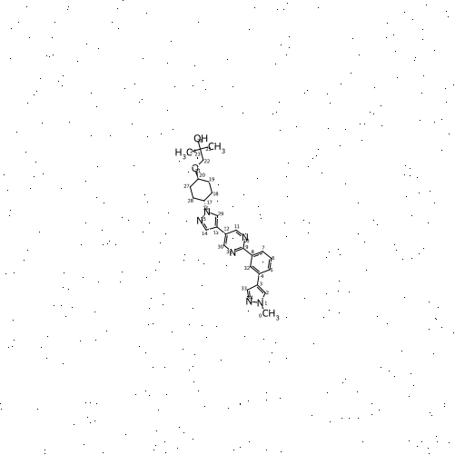 Cn1cc(-c2cccc(-c3ncc(-c4cnn([C@H]5CC[C@H](OCC(C)(C)O)CC5)c4)cn3)c2)cn1